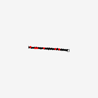 ClCCCCCCCCCCCCCCCCCCCCCCCCCCCCCCCCCCCCCCCCI